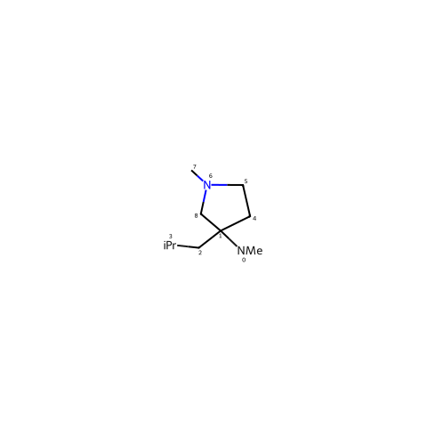 CNC1(CC(C)C)CCN(C)C1